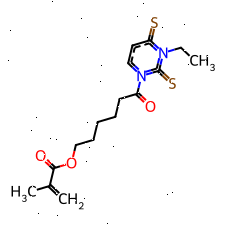 C=C(C)C(=O)OCCCCCC(=O)n1ccc(=S)n(CC)c1=S